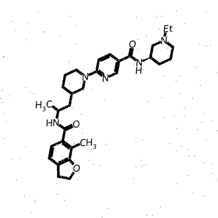 CCN1CCC[C@@H](NC(=O)c2ccc(N3CCCC(CC(C)NC(=O)c4ccc5c(c4C)OCC5)C3)nc2)C1